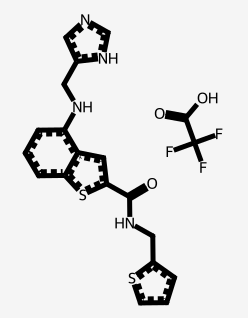 O=C(NCc1cccs1)c1cc2c(NCc3cnc[nH]3)cccc2s1.O=C(O)C(F)(F)F